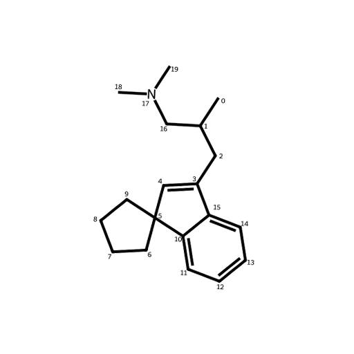 CC(CC1=CC2(CCCC2)c2ccccc21)CN(C)C